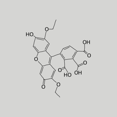 CCOc1cc2c(-c3ccc(C(=O)O)c(C(=O)O)c3C(=O)O)c3cc(OCC)c(=O)cc-3oc2cc1O